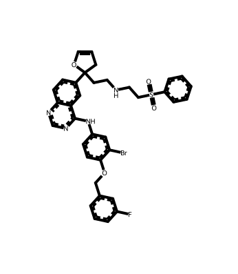 O=S(=O)(CCNCCC1(c2ccc3ncnc(Nc4ccc(OCc5cccc(F)c5)c(Br)c4)c3c2)CC=CO1)c1ccccc1